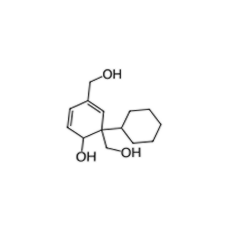 OCC1=CC(CO)(C2CCCCC2)C(O)C=C1